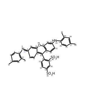 Cc1ccc(/N=c2\ccc3c(-c4ccc(S(=O)(=O)O)cc4S(=O)(=O)O)c4ccc(Nc5ccc(C)cc5C)cc4oc-3c2)c(C)c1